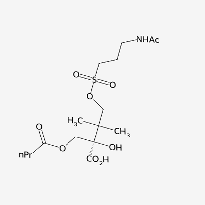 CCCC(=O)OC[C@@](O)(C(=O)O)C(C)(C)COS(=O)(=O)CCCNC(C)=O